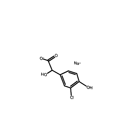 O=C([O-])C(O)c1ccc(O)c(Cl)c1.[Na+]